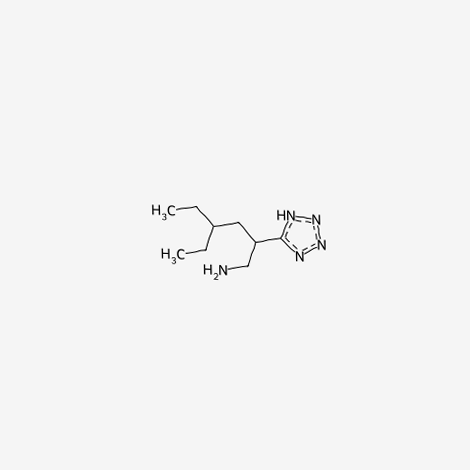 CCC(CC)CC(CN)c1nnn[nH]1